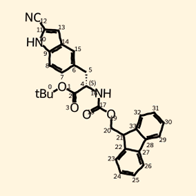 CC(C)(C)OC(=O)[C@H](Cc1ccc2[nH]c(C#N)cc2c1)NC(=O)OCC1c2ccccc2-c2ccccc21